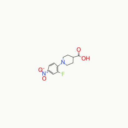 O=C(O)C1CCN(c2ccc([N+](=O)[O-])cc2F)CC1